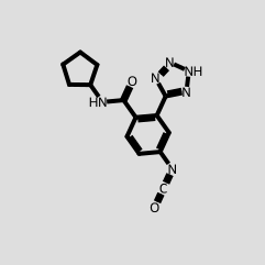 O=C=Nc1ccc(C(=O)NC2CCCC2)c(-c2nn[nH]n2)c1